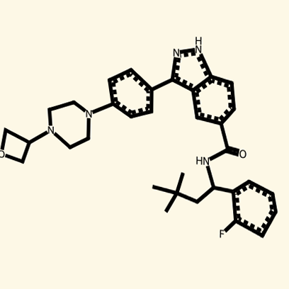 CC(C)(C)CC(NC(=O)c1ccc2[nH]nc(-c3ccc(N4CCN(C5COC5)CC4)cc3)c2c1)c1ccccc1F